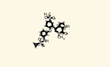 Cn1cc(-c2cc(S(C)(=O)=O)ccc2Oc2cccc(NS(=O)(=O)C3CC3)c2)c2cc[nH]c2c1=O